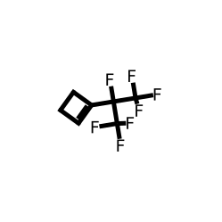 FC(F)(F)C(F)(C1=CCC1)C(F)(F)F